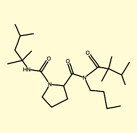 CCCCN(C(=O)C1CCCN1C(=O)NC(C)(C)CC(C)C)C(=O)C(C)(C)C(C)C